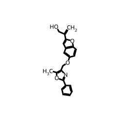 C=C(CO)c1cc2cc(OCc3nc(-c4ccccc4)oc3C)ccc2o1